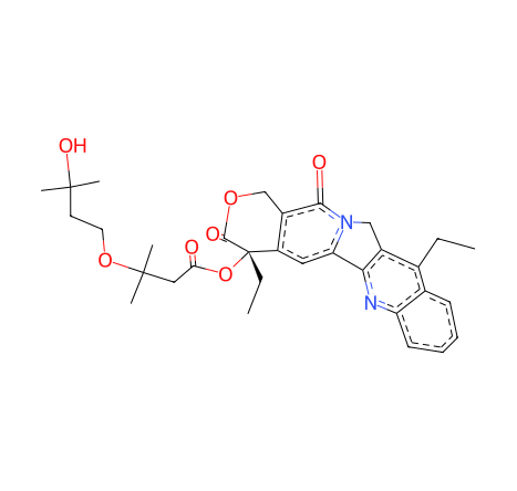 CCc1c2c(nc3ccccc13)-c1cc3c(c(=O)n1C2)COC(=O)[C@@]3(CC)OC(=O)CC(C)(C)OCCC(C)(C)O